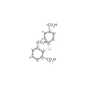 O=C(O)c1ccc(Sc2c(C(=O)O)cccc2C(=O)O)cc1